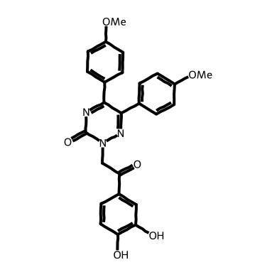 COc1ccc(-c2nc(=O)n(CC(=O)c3ccc(O)c(O)c3)nc2-c2ccc(OC)cc2)cc1